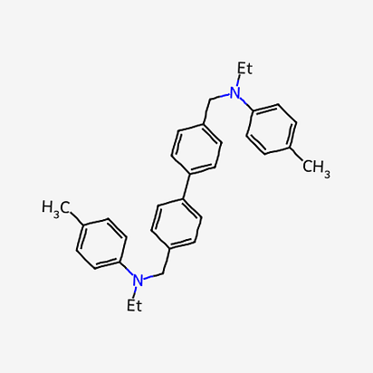 CCN(Cc1ccc(-c2ccc(CN(CC)c3ccc(C)cc3)cc2)cc1)c1ccc(C)cc1